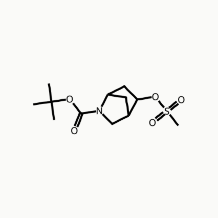 CC(C)(C)OC(=O)N1CC2CC1CC2OS(C)(=O)=O